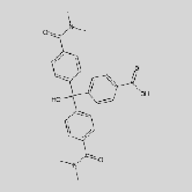 CN(C)C(=O)c1ccc(C(O)(c2ccc(C(=O)O)cc2)c2ccc(C(=O)N(C)C)cc2)cc1